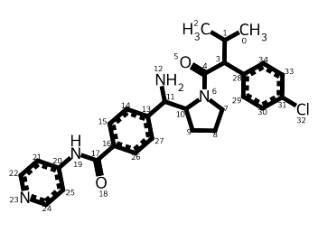 CC(C)C(C(=O)N1CCCC1C(N)c1ccc(C(=O)Nc2ccncc2)cc1)c1ccc(Cl)cc1